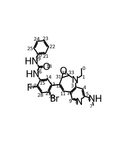 CCN1c2cc(NC)ncc2C=C(c2cc(NC(=O)Nc3ccccc3)c(F)cc2Br)C2OC21